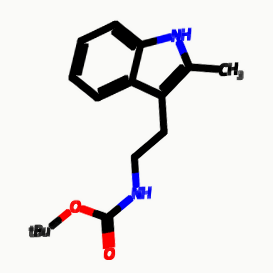 Cc1[nH]c2ccccc2c1CCNC(=O)OC(C)(C)C